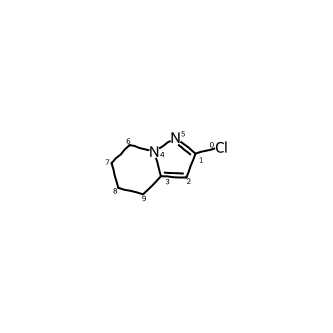 Clc1cc2n(n1)CCCC2